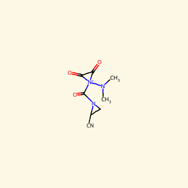 CN(C)[N+]1(C(=O)N2CC2C#N)C(=O)C1=O